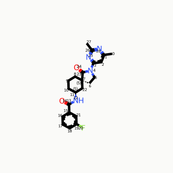 Cc1cc(N2CC[C@]3(CCC[C@H](NC(=O)c4cccc(F)c4)C3)C2=O)nc(C)n1